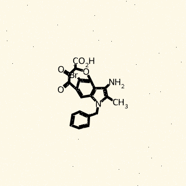 Cc1c(N)c2c3c(Br)c(cc2n1Cc1ccccc1)C(=O)C(=O)C(C(=O)O)O3